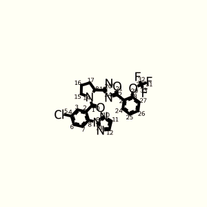 O=C(c1cc(Cl)ccc1-n1nccn1)N1CCCC1c1noc(-c2ccccc2OC(F)(F)F)n1